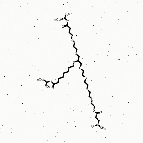 CCCCCCCCC(CCCCCCCC)OC(=O)CCCCCCCOCC(COCCOCCOCCOCCOC(=O)CCN(C)C)OCCCCCCCC(=O)OC(CCCCCCCC)CCCCCCCC